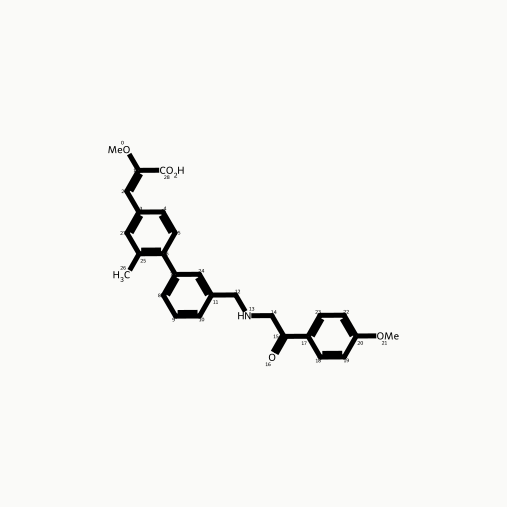 COC(=Cc1ccc(-c2cccc(CNCC(=O)c3ccc(OC)cc3)c2)c(C)c1)C(=O)O